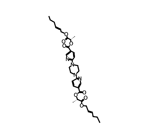 CCC/C=C/COC(=O)[C@H](C)OC(=O)c1ccc(N2CCN(c3ccc(C(=O)O[C@@H](C)C(=O)OC/C=C/CCC)cn3)CC2)nc1